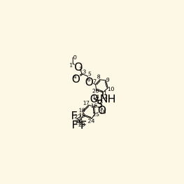 CCOC(=O)COc1cccc(NS(=O)(=O)c2ccc(C(F)(F)F)cc2)c1